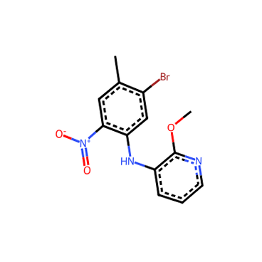 COc1ncccc1Nc1cc(Br)c(C)cc1[N+](=O)[O-]